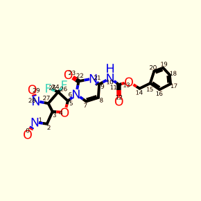 O=NCC1OC(n2ccc(NC(=O)OCc3ccccc3)nc2=O)C(F)(F)C1N=O